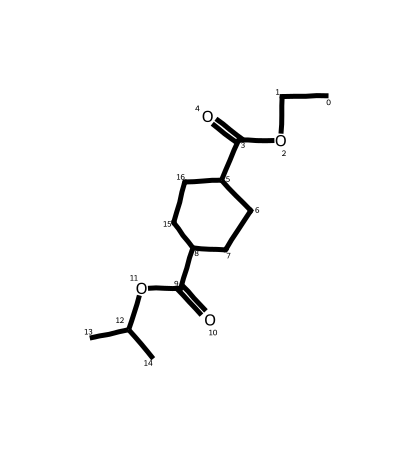 CCOC(=O)C1CCC(C(=O)OC(C)C)CC1